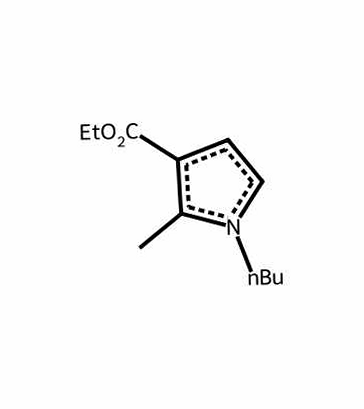 CCCCn1ccc(C(=O)OCC)c1C